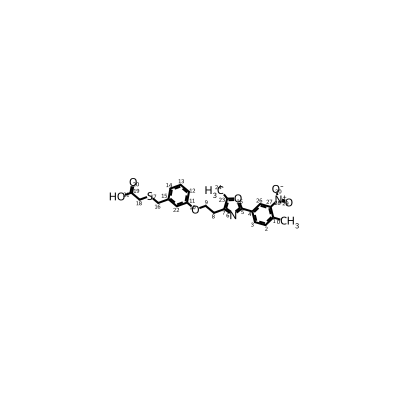 Cc1ccc(-c2nc(CCOc3cccc(CSCC(=O)O)c3)c(C)o2)cc1[N+](=O)[O-]